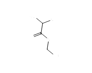 CCCCC(N)C(=O)NC[C]=O